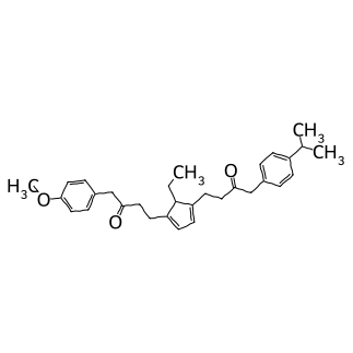 CCC1C(CCC(=O)Cc2ccc(OC)cc2)=CC=C1CCC(=O)Cc1ccc(C(C)C)cc1